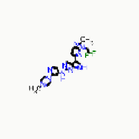 Cc1nc2ccc(-c3c[nH]c4nc(Nc5ccnc(N6CCN(C)CC6)c5)ncc34)nc2n1CC(F)F